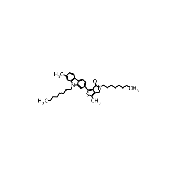 CCCCCCCCN1Cc2c(C)sc(-c3ccc4c5ccc(C)cc5n(CCCCCCCC)c4c3)c2C1=O